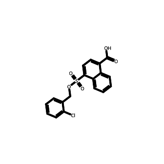 O=C(O)c1ccc(S(=O)(=O)OCc2ccccc2Cl)c2ccccc12